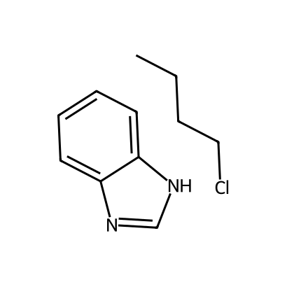 CCCCCl.c1ccc2[nH]cnc2c1